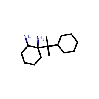 CC(C)(C1CCCCC1)C1(N)CCCCC1N